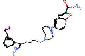 NC(=O)c1cc2cc(N3CCN(CCCCc4c[nH]c5ccc(CI)cc45)CC3)ccc2o1